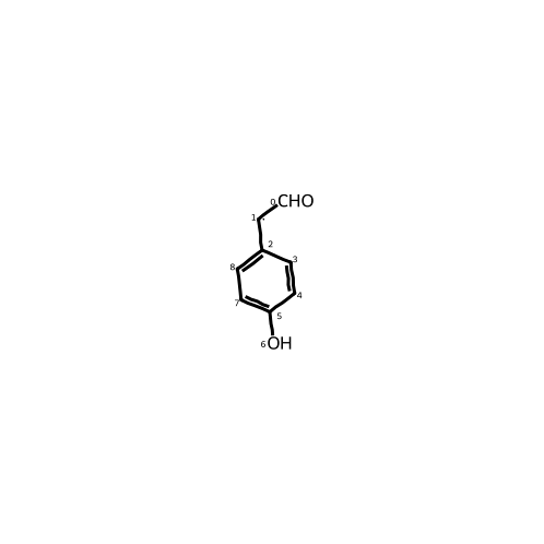 O=C[CH]c1ccc(O)cc1